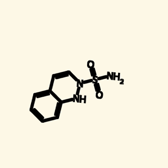 NS(=O)(=O)N1C=Cc2ccccc2N1